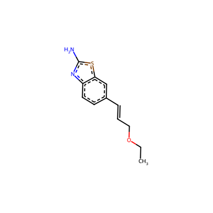 CCOC/C=C/c1ccc2nc(N)sc2c1